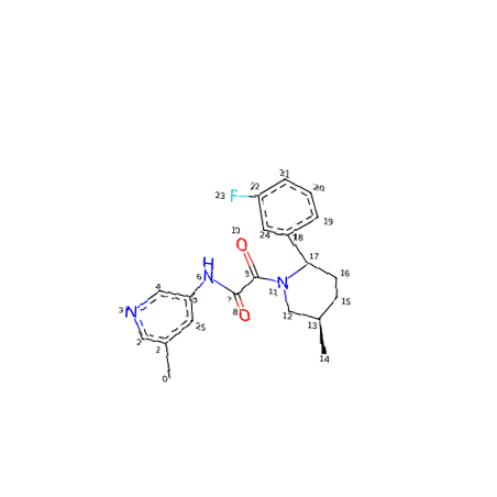 Cc1cncc(NC(=O)C(=O)N2C[C@H](C)CCC2c2cccc(F)c2)c1